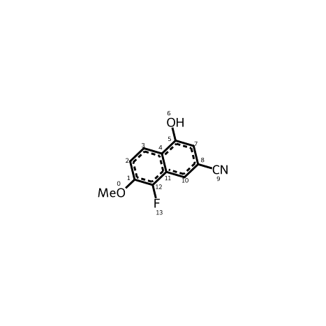 COc1ccc2c(O)cc(C#N)cc2c1F